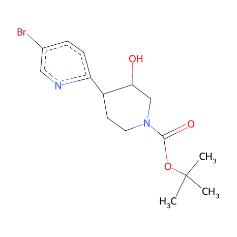 CC(C)(C)OC(=O)N1CCC(c2ccc(Br)cn2)C(O)C1